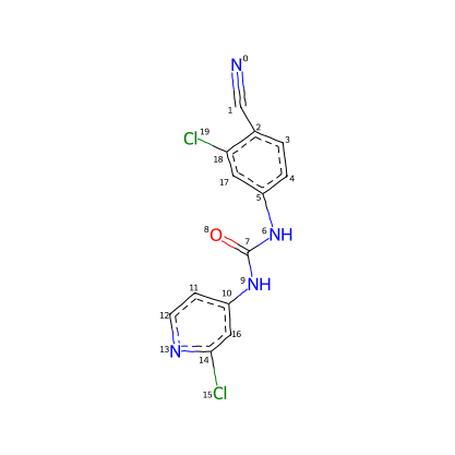 N#Cc1ccc(NC(=O)Nc2ccnc(Cl)c2)cc1Cl